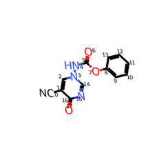 N#Cc1cn(NC(=O)Oc2ccccc2)cnc1=O